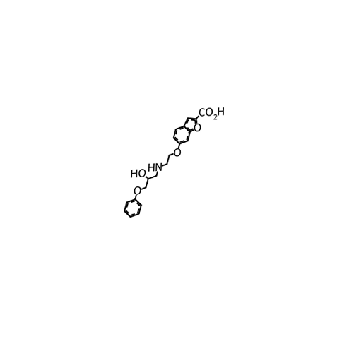 O=C(O)c1cc2ccc(OCCNC[C@H](O)COc3ccccc3)cc2o1